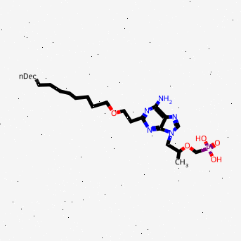 CCCCCCCCCCCCCCCCCCOCCc1nc(N)c2ncn(CC(C)OCP(=O)(O)O)c2n1